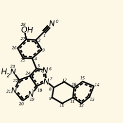 N#Cc1cc(-c2nn(C3CCc4ccccc4C3)c3ncnc(N)c23)ccc1O